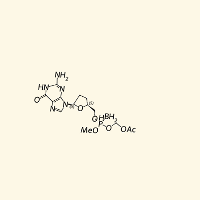 B[PH](OC)(OCOC(C)=O)OC[C@@H]1CC[C@H](n2cnc3c(=O)[nH]c(N)nc32)O1